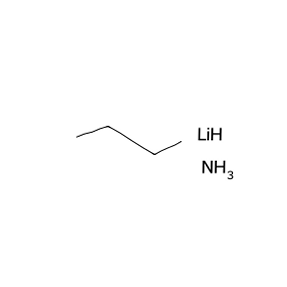 CCCC.N.[LiH]